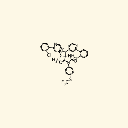 CC(c1ccnc(-c2ccccc2Cl)c1)C1(C(C)c2ccnc(-c3ccccc3Cl)c2)NC(=O)N(c2ccc(SC(F)(F)F)cc2)C1=O